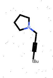 CC(C)(C)C#CCN1CCCC1